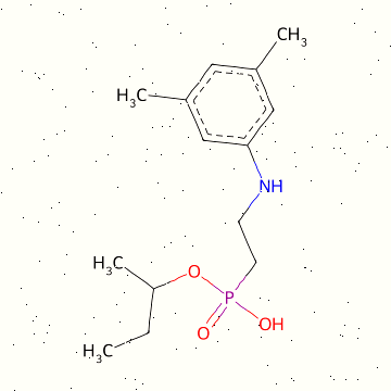 CCC(C)OP(=O)(O)CCNc1cc(C)cc(C)c1